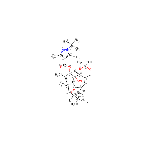 CC1=C[C@]23C(=O)[C@@H](C=C4COC(C)(C)O[C@H]4C2(O)[C@H]1OC(=O)c1c(C)nn(C(C)(C)C)c1C)[C@H]1[C@@H](C[C@H]3C)C1(C)C